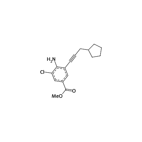 COC(=O)c1cc(Cl)c(N)c(C#CCC2CCCC2)c1